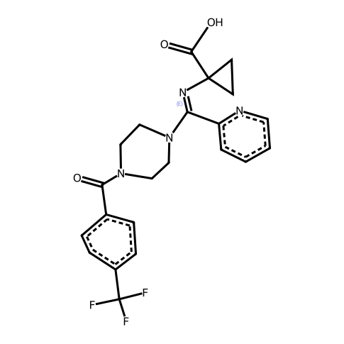 O=C(c1ccc(C(F)(F)F)cc1)N1CCN(/C(=N/C2(C(=O)O)CC2)c2ccccn2)CC1